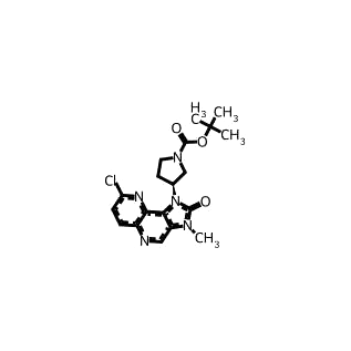 Cn1c(=O)n([C@H]2CCN(C(=O)OC(C)(C)C)C2)c2c3nc(Cl)ccc3ncc21